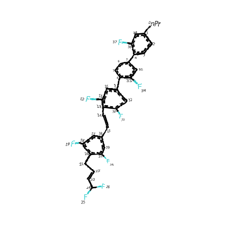 CCCc1ccc(-c2ccc(-c3cc(F)c(/C=C/c4cc(F)c(C/C=C/C(F)F)c(F)c4)c(F)c3)c(F)c2)c(F)c1